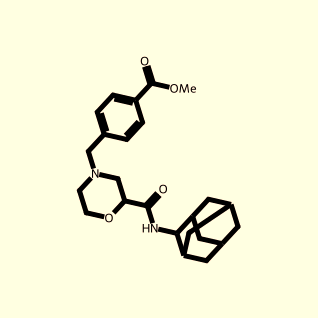 COC(=O)c1ccc(CN2CCOC(C(=O)NC3C4CC5CC(C4)CC3C5)C2)cc1